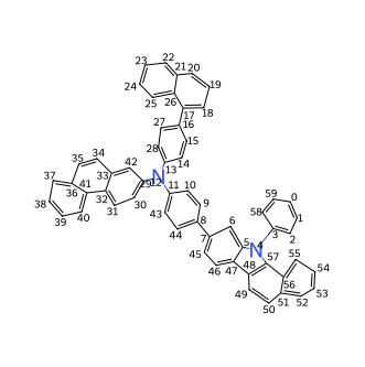 c1ccc(-n2c3cc(-c4ccc(N(c5ccc(-c6cccc7ccccc67)cc5)c5ccc6c(ccc7ccccc76)c5)cc4)ccc3c3ccc4ccccc4c32)cc1